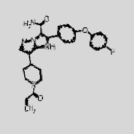 C=CC(=O)N1CCC(c2cnn3c(C(N)=O)c(-c4ccc(Oc5ccc(F)cc5)cc4)[nH]c23)CC1